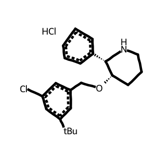 CC(C)(C)c1cc(Cl)cc(CO[C@H]2CCCN[C@H]2c2ccccc2)c1.Cl